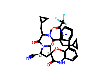 CN(C(=O)C(CC1CC1)NC(=O)C(F)(F)F)C(CC1CC1)C(=O)N1C[C@@]2(C[C@H]1C#N)Oc1c(cccc1-c1ccccc1)NC2=O